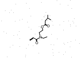 C=CC(=O)N(CC)CCOC(=O)CC(C)C